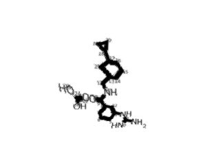 N=C(N)Nc1cccc(C(=O)NCc2cccc(C3CC3)c2)c1.O=C(O)O